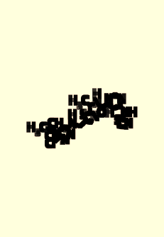 CC(NC(O)c1cc(Nc2nccs2)ncn1)c1ncc(CNc2cc(C(C)(C)C)c(Cl)nn2)s1